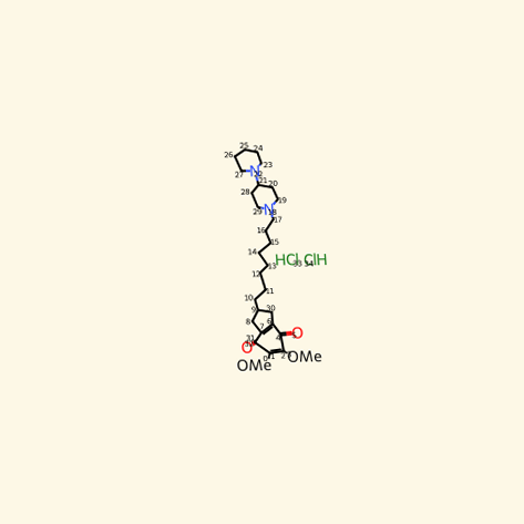 COC1=C(OC)C(=O)C2=C(CC(CCCCCCCCN3CCC(N4CCCCC4)CC3)C2)C1=O.Cl.Cl